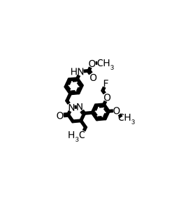 CCC1CC(=O)N(Cc2ccc(NC(=O)OC)cc2)N=C1c1ccc(OC)c(OCF)c1